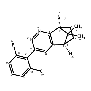 CC1(C)[C@H]2CC[C@]1(C)c1nnc(-c3c(F)cccc3Cl)cc12